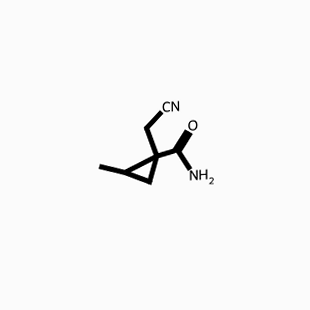 CC1CC1(CC#N)C(N)=O